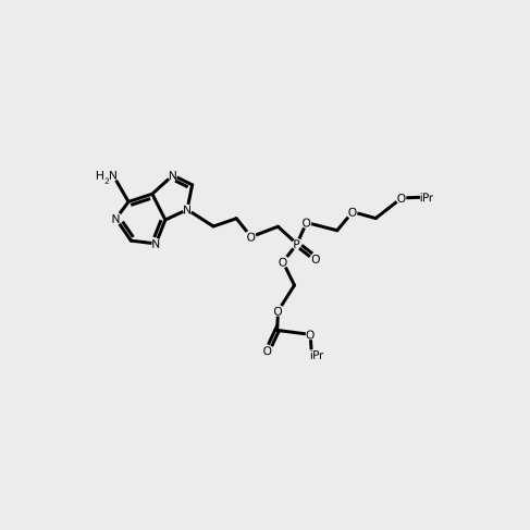 CC(C)OCOCOP(=O)(COCCn1cnc2c(N)ncnc21)OCOC(=O)OC(C)C